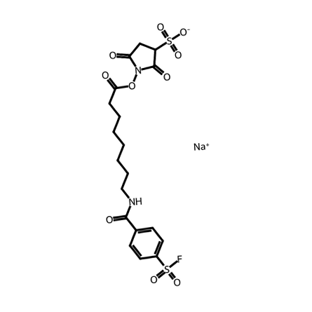 O=C(CCCCCCCNC(=O)c1ccc(S(=O)(=O)F)cc1)ON1C(=O)CC(S(=O)(=O)[O-])C1=O.[Na+]